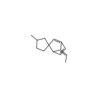 CC=C1C2=CC3(CCC(C)C3)C1C=C2